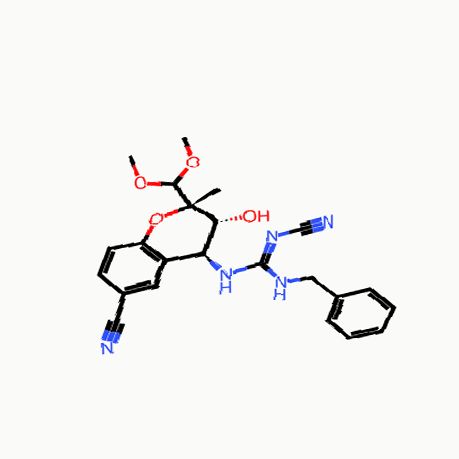 COC(OC)[C@@]1(C)Oc2ccc(C#N)cc2[C@H](NC(=NC#N)NCc2ccccc2)[C@H]1O